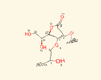 CCCCCCCCC(O)COC1=C(OCCCC)C(=O)O[C@@H]1[C@@H](O)CO